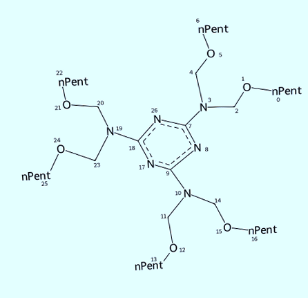 CCCCCOCN(COCCCCC)c1nc(N(COCCCCC)COCCCCC)nc(N(COCCCCC)COCCCCC)n1